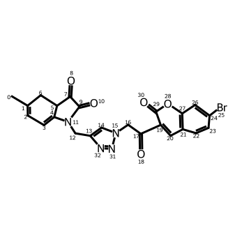 CC1=CC=C2C(C1)C(=O)C(=O)N2Cc1cn(CC(=O)c2cc3ccc(Br)cc3oc2=O)nn1